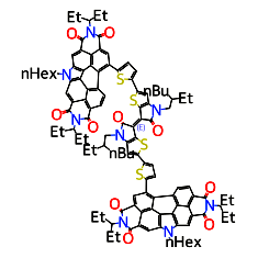 CCCCCCn1c2cc3c(=O)n(C(CC)CC)c(=O)c4ccc5c6c(-c7ccc(-c8cc9c(s8)/C(=C8\C(=O)N(CC(CC)CCCC)c%10cc(-c%11ccc(-c%12cc%13c(=O)n(C(CC)CC)c(=O)c%14cc%15c%16c(c%12c%12ccc%17c(=O)n(C(CC)CC)c(=O)c%18cc(c%16c%12c%17%18)n%15CCCCCC)c%13%14)s%11)sc%108)C(=O)N9CC(CC)CCCC)s7)cc7c(=O)n(C(CC)CC)c(=O)c8cc1c(c6c78)c2c5c43